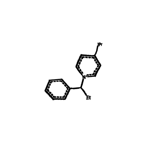 CCC(c1ccccc1)[n+]1ccc(C(C)C)cc1